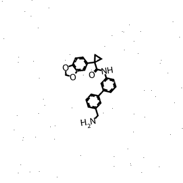 NCc1cccc(-c2cccc(NC(=O)C3(c4ccc5c(c4)OCO5)CC3)c2)c1